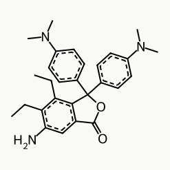 CCc1c(N)cc2c(c1CC)C(c1ccc(N(C)C)cc1)(c1ccc(N(C)C)cc1)OC2=O